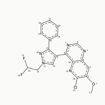 COc1cc2ncnc(-c3cn(CC(F)F)nc3-c3ccccc3)c2nc1Cl